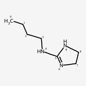 CCCCNC1=NCCN1